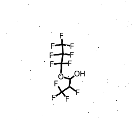 OC(OC(F)(F)C(F)(F)C(F)(F)F)C(F)C(F)(F)F